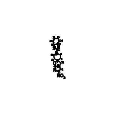 O=[N+]([O-])c1cn2c(n1)OC1(CCN(c3nc4ccccc4s3)CC1)C2